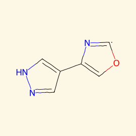 [c]1nc(-c2cn[nH]c2)co1